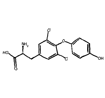 N[C@@H](Cc1cc(Cl)c(Oc2ccc(O)cc2)c(Cl)c1)C(=O)O